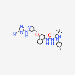 Cc1ccc(-n2nc(C(C)(C)C)cc2NC(=O)Nc2ccc(OCc3ccnc(Nc4cncc(C#N)n4)c3)c3ccccc23)cc1